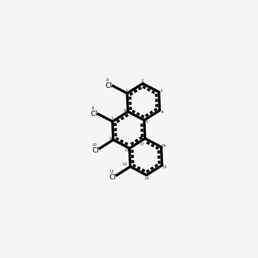 Clc1[c]ccc2c1c(Cl)c(Cl)c1c(Cl)[c]ccc12